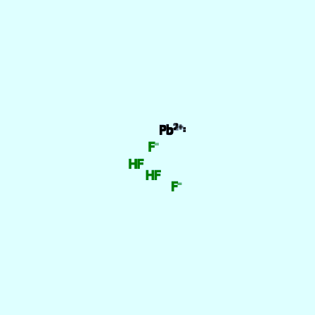 F.F.[F-].[F-].[Pb+2]